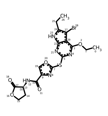 CCOc1nc(Sc2nc(C(=O)N[C@H]3CCOC3=O)co2)nc2[nH]c(CC)c(Br)c12